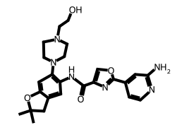 CC1(C)Cc2cc(NC(=O)c3coc(-c4ccnc(N)c4)n3)c(N3CCN(CCO)CC3)cc2O1